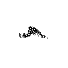 COCCOCOc1ccc2c(c1)CC[C@H](c1ccccc1)[C@@H]2c1cc(F)c(N2CCC(CC(OC)OC)CC2)cc1OC